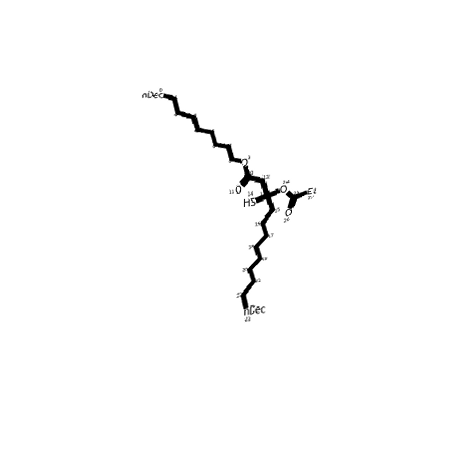 CCCCCCCCCCCCCCCCCCOC(=O)CC(S)(CCCCCCCCCCCCCCCCCC)OC(=O)CC